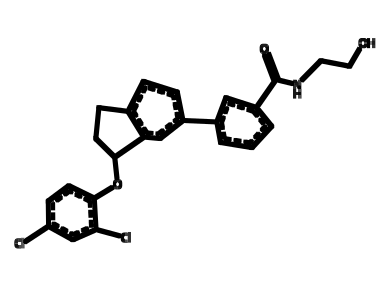 O=C(NCCO)c1cccc(-c2ccc3c(c2)C(Oc2ccc(Cl)cc2Cl)CC3)c1